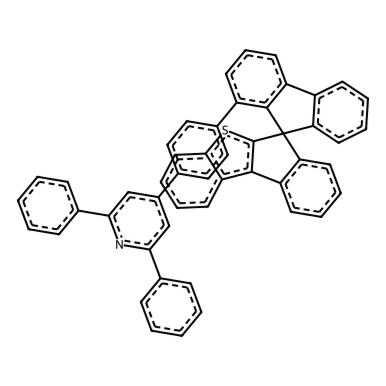 c1ccc(-c2cc(-c3ccc(-c4cccc5c4C4(c6ccccc6-5)c5ccccc5-c5c4sc4ccccc54)cc3)cc(-c3ccccc3)n2)cc1